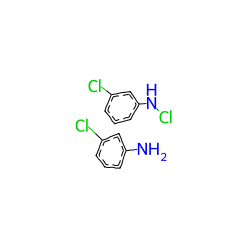 ClNc1cccc(Cl)c1.Nc1cccc(Cl)c1